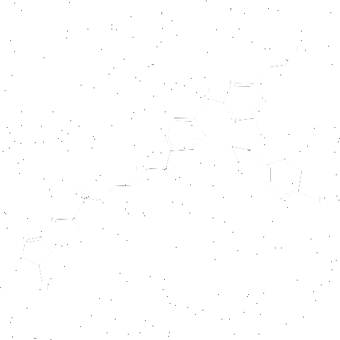 Cc1cc(NC(=O)C(=O)NCCNC(=O)c2ccc(Nc3nc(NC4(c5ccc(Cl)cc5)CC4)nc(OCC(F)(F)F)n3)cc2)no1